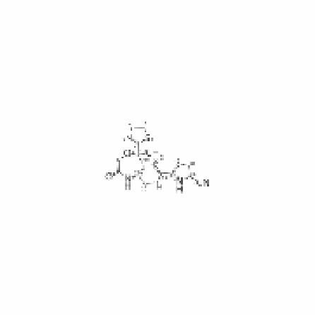 CC1(c2nccs2)OCC(=O)Nc2ccc(-c3ccc(C#N)[nH]3)cc21